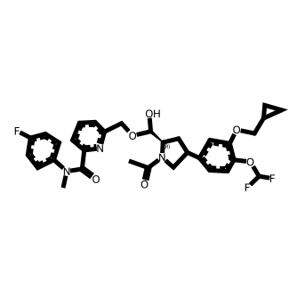 CC(=O)N1CC(c2ccc(OC(F)F)c(OCC3CC3)c2)C[C@@H]1C(O)OCc1cccc(C(=O)N(C)c2ccc(F)cc2)n1